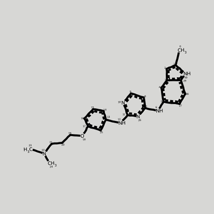 Cc1cc2cc(Nc3ccnc(Nc4cccc(OCCCN(C)C)c4)n3)ccc2[nH]1